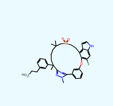 Cn1nc2nc1-c1cccc(c1)Oc1c(F)cc3[nH]ccc3c1CCS(=O)(=O)CC(C)(C)CCCC2(C)c1cccc(CCC(=O)O)c1